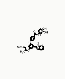 COC[C@H](C)Oc1cc(Oc2ccc(C(=O)NC3CCS(O)(O)C3)cc2)cc(-c2nc3cccnc3[nH]2)c1